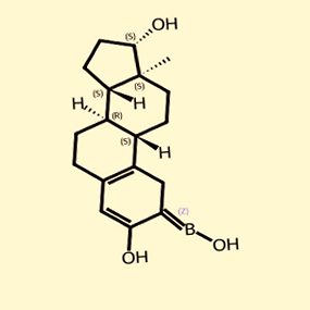 C[C@]12CC[C@@H]3C4=C(C=C(O)/C(=B\O)C4)CC[C@H]3[C@@H]1CC[C@@H]2O